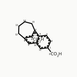 O=C(O)c1ccc2c3c(C(=O)O)c(cc2c1)CCCC3